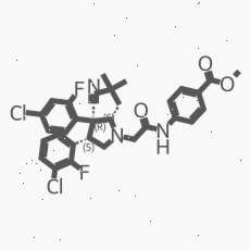 COC(=O)c1ccc(NC(=O)CN2C[C@H](c3cccc(Cl)c3F)[C@@](C#N)(c3ccc(Cl)cc3F)[C@@H]2CC(C)(C)C)cc1